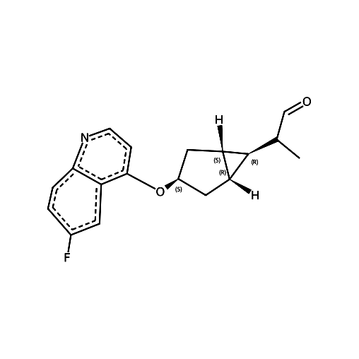 CC(C=O)[C@H]1[C@@H]2C[C@@H](Oc3ccnc4ccc(F)cc34)C[C@@H]21